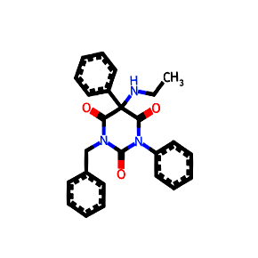 CCNC1(c2ccccc2)C(=O)N(Cc2ccccc2)C(=O)N(c2ccccc2)C1=O